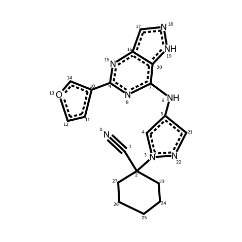 N#CC1(n2cc(Nc3nc(-c4ccoc4)nc4cn[nH]c34)cn2)CCCCC1